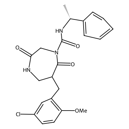 COc1ccc(Cl)cc1CC1CNC(=O)CN(C(=O)N[C@H](C)c2ccccc2)C1=O